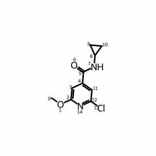 COc1cc(C(=O)NC2CC2)cc(Cl)n1